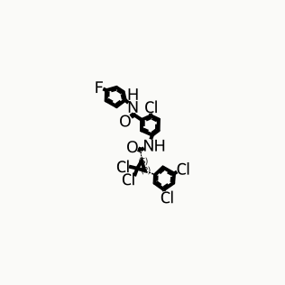 O=C(Nc1ccc(F)cc1)c1cc(NC(=O)[C@@H]2[C@H](c3cc(Cl)cc(Cl)c3)C2(Cl)Cl)ccc1Cl